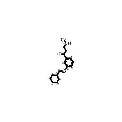 FC(CCNCl)c1cccc(OCC2CCCCC2)c1